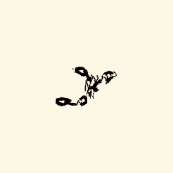 [c]1ccc(-c2nc(N3CCOCC3)c3cnn(C4CCN(Cc5ccccc5)CC4)c3n2)cc1